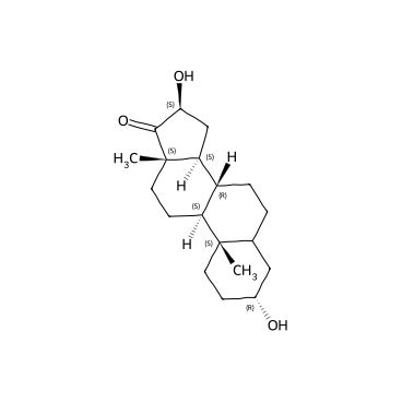 C[C@]12CC[C@@H](O)CC1CC[C@@H]1[C@@H]2CC[C@]2(C)C(=O)[C@@H](O)C[C@@H]12